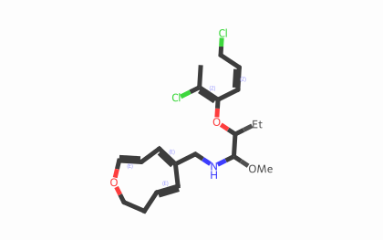 CCC(OC(/C=C\CCl)=C(/C)Cl)C(NCC1=C/C=C/OCC\C=C\1)OC